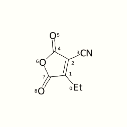 CCC1=C(C#N)C(=O)OC1=O